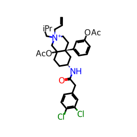 C=CC[N@@+]1(CC(C)C)CC[C@]2(c3cccc(OC(C)=O)c3)C[C@H](NC(=O)Cc3ccc(Cl)c(Cl)c3)CCC2(OC(C)=O)C1